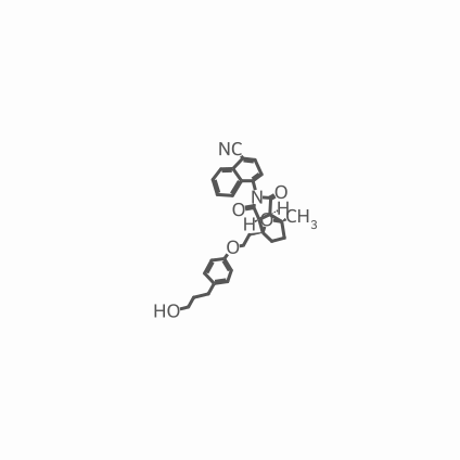 C[C@@]12CC[C@@](CCOc3ccc(CCCO)cc3)(O1)[C@H]1C(=O)N(c3ccc(C#N)c4ccccc34)C(=O)[C@H]12